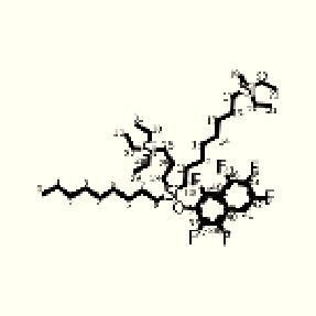 CCCCCCCCC[Si](CCCCCCCC[Si](C)(CC)CC)(CCC[Si](CC)(CC)CC)Oc1c(F)c(F)c2[c]c(F)c(F)c(F)c2c1F